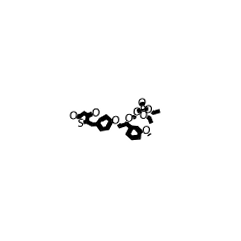 CCOP(=O)(OCC)OCOC(COc1ccc(CC2SC(=O)CC2=O)cc1)c1cccc(OC)c1